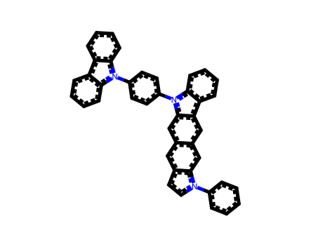 c1ccc(-n2ccc3cc4cc5c(cc4cc32)c2ccccc2n5-c2ccc(-n3c4ccccc4c4ccccc43)cc2)cc1